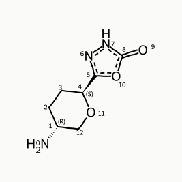 N[C@@H]1CC[C@@H](c2n[nH]c(=O)o2)OC1